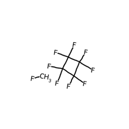 CF.FC1(F)C(F)(F)C(F)(F)C1(F)F